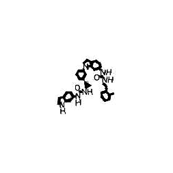 Cc1ccccc1CCNC(=O)Nc1ccc2ccn(-c3cccc([C@@H]4CC4NC(=O)Nc4ccc5cc[nH]c5c4)c3)c2c1